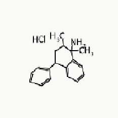 CC1CC(c2ccccc2)c2ccccc2C1(C)N.Cl